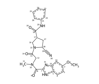 COc1ccc2[nH]c(C(=O)N(C)CC(=O)N3CC(C(=O)Nc4ccccc4)CC3C#N)nc2c1